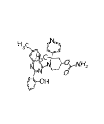 Cc1ccc2c(N3CCC(OC(N)=O)CC3(C)c3ccncc3)nc(-c3ccccc3O)nc2c1